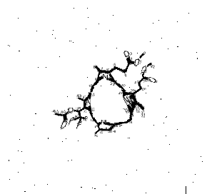 COC(=O)CCC1=C(C)c2cc3[nH]c(cc4nc(cc5[nH]c(cc1n2)c(CCC(=O)OC)c5C)C=C4C)c(C(OC(C)=O)C(F)(F)F)c3C